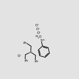 CC(C)[CH2][Al]([CH2]C(C)C)[CH2]C(C)C.O.[Cl-].[Cl-].[Cl-].[Cl-].[Ti+4][c]1ccccc1